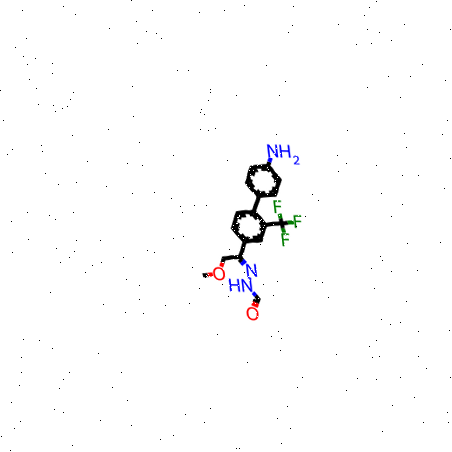 COC/C(=N\NC=O)c1ccc(-c2ccc(N)cc2)c(C(F)(F)F)c1